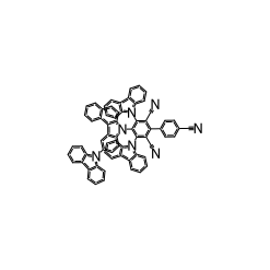 N#Cc1ccc(-c2c(C#N)c(-n3c4ccccc4c4ccccc43)c(-n3c4ccc(-n5c6ccccc6c6ccccc65)cc4c4c5ccccc5ccc43)c(-n3c4ccccc4c4ccccc43)c2C#N)cc1